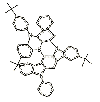 CC(C)(C)c1ccc(N2c3ccc(C(C)(C)C)cc3B3c4c(cc5ccccc5c42)-n2c4ccc(C(C)(C)C)cc4c4cc5c(c3c42)c2ccccc2n5-c2ccccc2)cc1